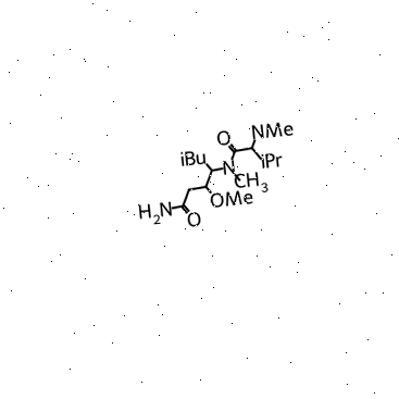 CCC(C)C(C(CC(N)=O)OC)N(C)C(=O)C(NC)C(C)C